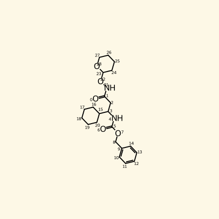 O=C(CC(NC(=O)OCc1ccccc1)C1CCCCC1)NOC1CCCCO1